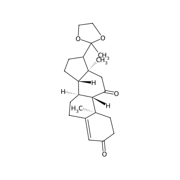 CC1(C2CC[C@H]3[C@@H]4CCC5=CC(=O)CC[C@]5(C)[C@H]4C(=O)C[C@]23C)OCCO1